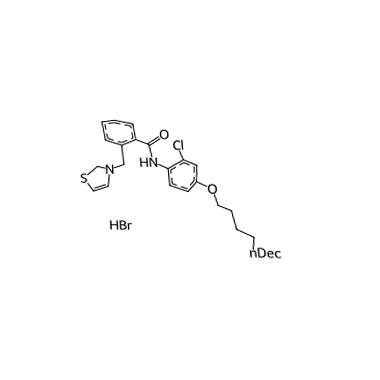 Br.CCCCCCCCCCCCCCOc1ccc(NC(=O)c2ccccc2CN2C=CSC2)c(Cl)c1